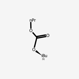 C[CH][C@H](C)OC(=O)OCCC